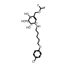 O[C@@H]1[C@@H](O)[C@@H](O)C(COC(F)F)=C[C@H]1NCCCCCOc1ccc(Cl)cc1